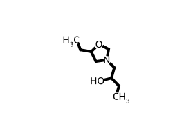 CCC(O)CN1COC(CC)C1